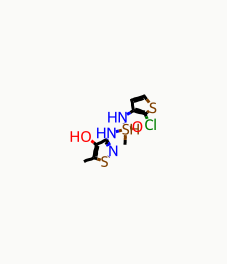 Cc1snc(N[SH](C)(=O)Nc2ccsc2Cl)c1O